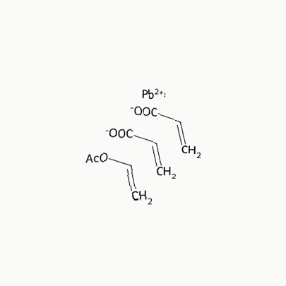 C=CC(=O)[O-].C=CC(=O)[O-].C=COC(C)=O.[Pb+2]